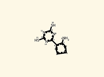 Nc1ccccc1-c1nc(S)nc(S)n1